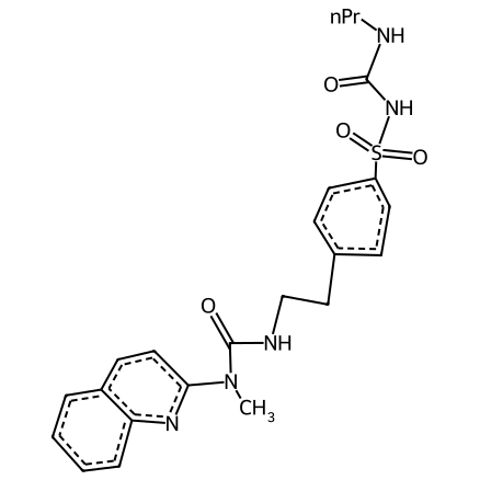 CCCNC(=O)NS(=O)(=O)c1ccc(CCNC(=O)N(C)c2ccc3ccccc3n2)cc1